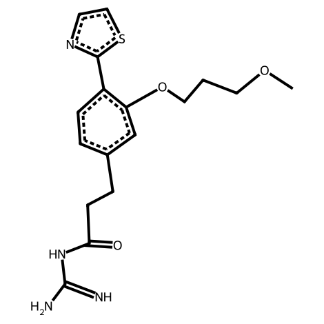 COCCCOc1cc(CCC(=O)NC(=N)N)ccc1-c1nccs1